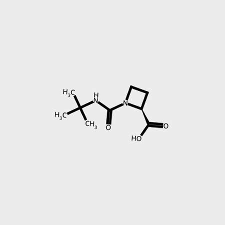 CC(C)(C)NC(=O)N1CC[C@H]1C(=O)O